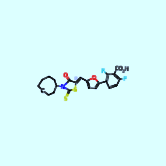 O=C(O)c1c(F)ccc(-c2ccc(/C=C3\SC(=S)N(C4CCCCCCC4)C3=O)o2)c1F